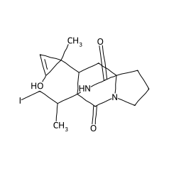 CC(CI)C12NC(=O)C3(CCCN3C1=O)CC2C1(C)C=C1O